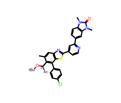 CC(=O)[C@@H](OC(C)(C)C)c1c(C)cc2nc(-c3ccnc(-c4ccc5c(c4)n(C)c(=O)n5C)c3)sc2c1-c1ccc(Cl)cc1